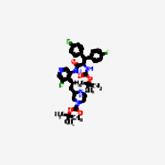 CC(C)(C)OC(=O)N[C@H](C(=O)Nc1cncc(F)c1CCC1CN(C(=O)OC(C)(C)C)CCN1)C(c1ccc(F)cc1)c1ccc(F)cc1